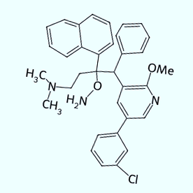 COc1ncc(-c2cccc(Cl)c2)cc1C(c1ccccc1)C(CCN(C)C)(ON)c1cccc2ccccc12